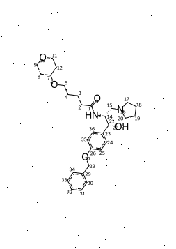 O=C(CCCCOC1CCOCC1)N[C@H](CN1CCCC1)[C@H](O)c1ccc(OCc2ccccc2)cc1